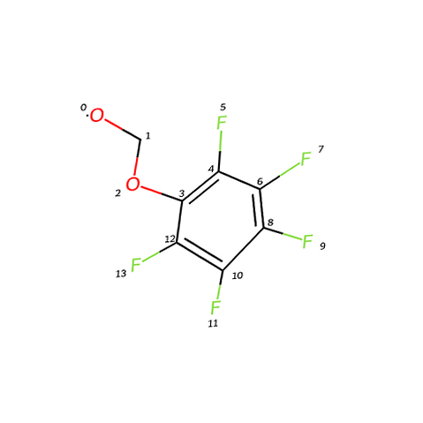 [O]COc1c(F)c(F)c(F)c(F)c1F